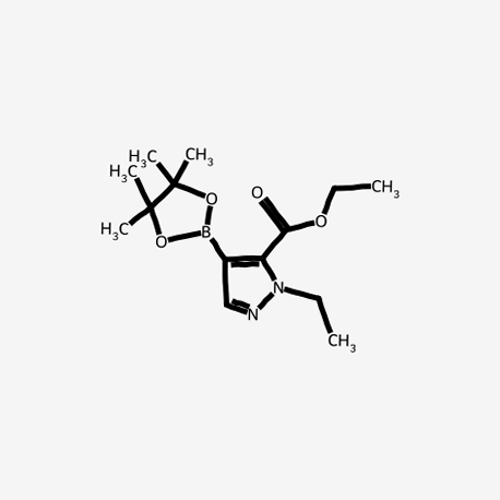 CCOC(=O)c1c(B2OC(C)(C)C(C)(C)O2)cnn1CC